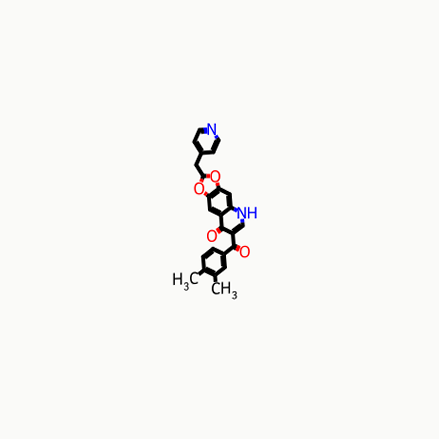 Cc1ccc(C(=O)c2c[nH]c3cc4c(cc3c2=O)OC(Cc2ccncc2)O4)cc1C